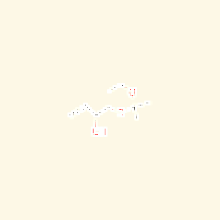 C=C[C@@H](O)C1CCOC(C)(C)O1